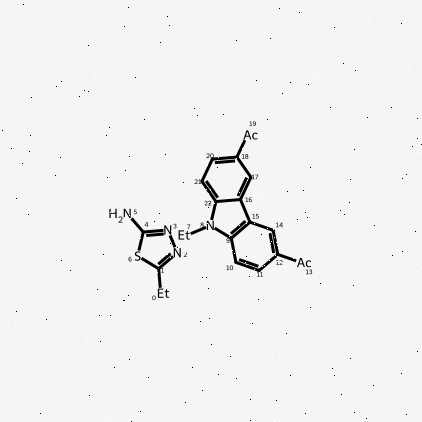 CCc1nnc(N)s1.CCn1c2ccc(C(C)=O)cc2c2cc(C(C)=O)ccc21